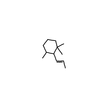 C/C=C/C1C(C)CCCC1(C)C